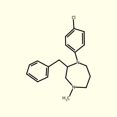 CN1CCCN(c2ccc(Cl)cc2)C(Cc2ccccc2)C1